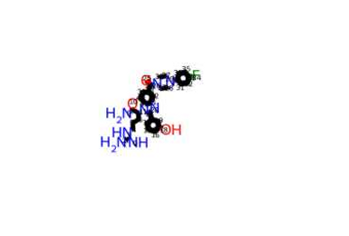 N=C(N)NCCCC(C(N)=O)n1c(-c2cccc(O)c2)nc2cc(C(=O)N3CCN(c4ccc(F)cc4)CC3)ccc21